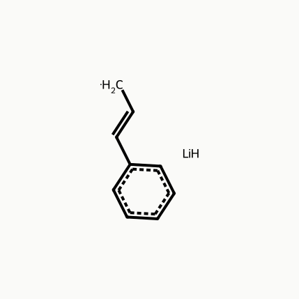 [CH2]/C=C/c1ccccc1.[LiH]